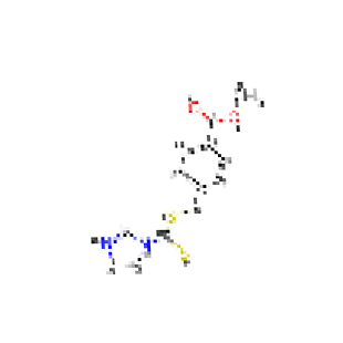 COC(=O)c1ccc(CSC(=S)n2ccnc2)cc1